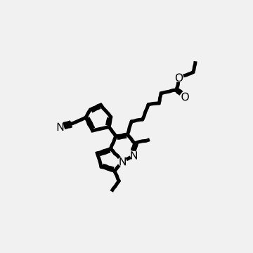 CCOC(=O)CCCCCc1c(C)nn2c(CC)ccc2c1-c1cccc(C#N)c1